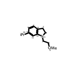 COCCN1CCc2ccc(C(C)C)cc21